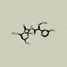 CON=C(C(=O)NC1C(=O)N2C(C(=O)O)=CC(C)S[C@@H]12)c1nccc(N)n1